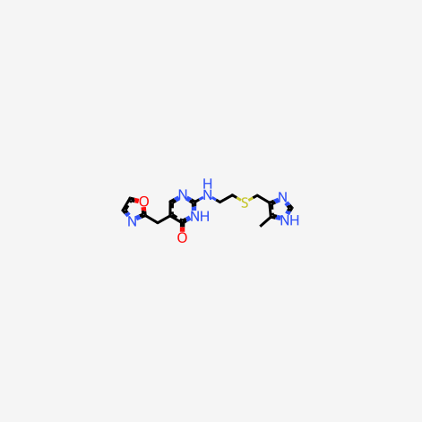 Cc1[nH]cnc1CSCCNc1ncc(Cc2ncco2)c(=O)[nH]1